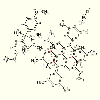 COc1cc(P(c2cc(C)cc(C)c2)c2cc(C)cc(C)c2)c(-c2c(P(c3cc(C)cc(C)c3)c3cc(C)cc(C)c3)cc(OC)nc2OC)c(OC)n1.COc1ccc(C(N)(c2ccc(OC)cc2)[C@H](N)C(C)C)cc1.[Cl][Ru][Cl]